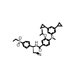 CCS(=O)(=O)c1ccc([C@H](CC#N)NC(=O)c2ccc(N(C)c3cc(C4CC4)cc(C4CC4)c3)c(OC(C)C)c2)cc1